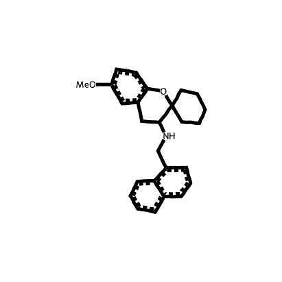 COc1ccc2c(c1)CC(NCc1cccc3ccccc13)C1(CCCCC1)O2